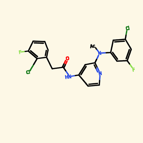 CC(=O)N(c1cc(F)cc(Cl)c1)c1cc(NC(=O)Cc2cccc(F)c2Cl)ccn1